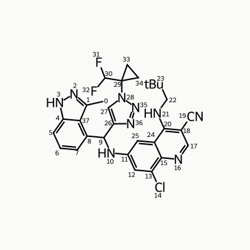 Cc1n[nH]c2cccc(C(Nc3cc(Cl)c4ncc(C#N)c(NCC(C)(C)C)c4c3)c3cn(C4(C(F)F)CC4)nn3)c12